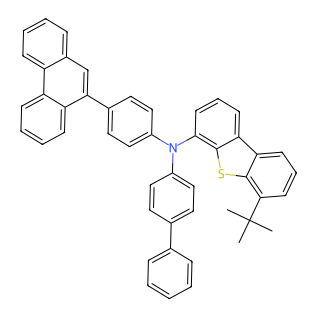 CC(C)(C)c1cccc2c1sc1c(N(c3ccc(-c4ccccc4)cc3)c3ccc(-c4cc5ccccc5c5ccccc45)cc3)cccc12